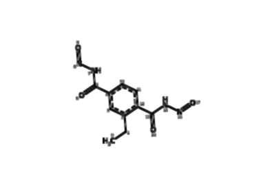 CCc1cc(C(=O)NN=O)ccc1C(=O)NN=O